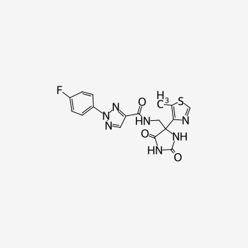 Cc1scnc1C1(CNC(=O)c2cnn(-c3ccc(F)cc3)n2)NC(=O)NC1=O